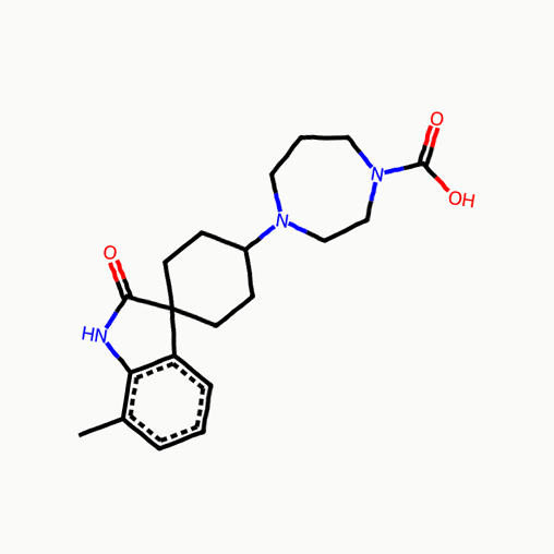 Cc1cccc2c1NC(=O)C21CCC(N2CCCN(C(=O)O)CC2)CC1